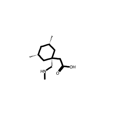 CNC[C@]1(CC(=O)O)C[C@H](C)C[C@H](C)C1